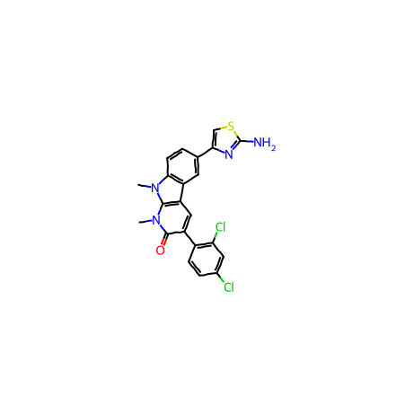 Cn1c(=O)c(-c2ccc(Cl)cc2Cl)cc2c3cc(-c4csc(N)n4)ccc3n(C)c21